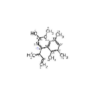 C=CC(=C)/C(=N/[C@@H](O)OC)c1cc(C)cc(C)c1C